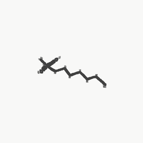 [CH2]S(=O)(=O)CCCCCCC